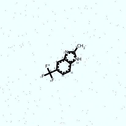 [CH2]c1nc2cc(C(F)(F)F)ccc2[nH]1